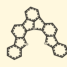 c1ccc2c(c1)oc1c2ccc2c3cccc4c5ccc6c7ccccc7oc6c5n(c34)c21